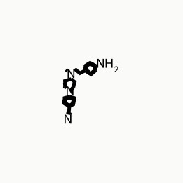 CN(CCc1ccc(N)cc1)C1CCN(c2ccc(C#N)cc2)CC1